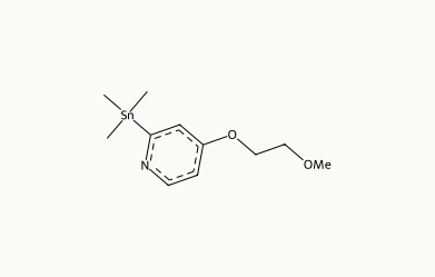 COCCOc1ccn[c]([Sn]([CH3])([CH3])[CH3])c1